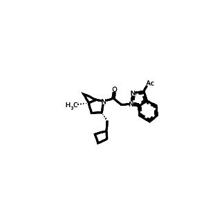 CC(=O)c1nn(CC(=O)N2C3C[C@]3(C)C[C@H]2CC2CCC2)c2ccccc12